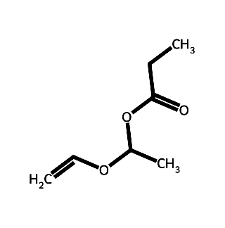 C=COC(C)OC(=O)CC